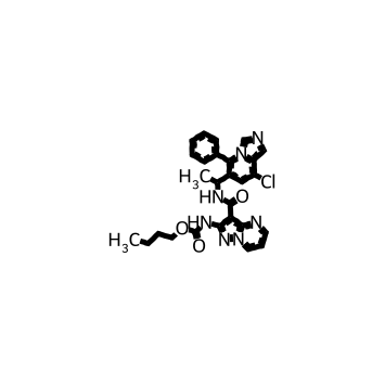 CCCCOC(=O)Nc1nn2cccnc2c1C(=O)NC(C)c1cc(Cl)c2cncn2c1-c1ccccc1